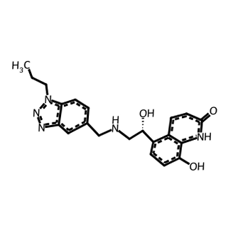 CCCn1nnc2cc(CNC[C@H](O)c3ccc(O)c4[nH]c(=O)ccc34)ccc21